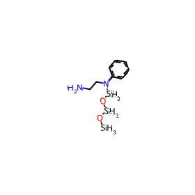 NCCN([SiH2]O[SiH2]O[SiH3])c1ccccc1